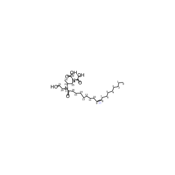 CCCCCCCC/C=C\CCCCCCCC(=O)N(CCO)C(C)CN(C(=O)O)C(=O)O